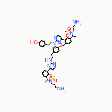 CC(c1cccc(-c2ccnc(NCCc3ccc(OCc4ccc(C(C)N(CCCN)S(C)(=O)=O)cc4-c4ccnc(NCCc5ccc(O)cc5)n4)cc3)n2)c1)N(CCCN)S(C)(=O)=O